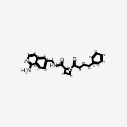 Nc1nccc2cc(CNC(=O)C3CCN3C(=O)CCCc3ccccc3)ccc12